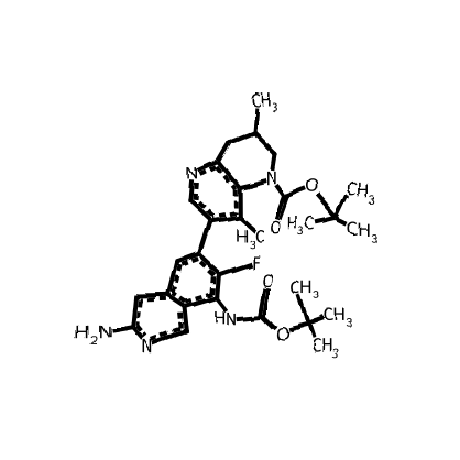 Cc1c(-c2cc3cc(N)ncc3c(NC(=O)OC(C)(C)C)c2F)cnc2c1N(C(=O)OC(C)(C)C)CC(C)C2